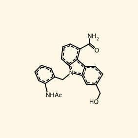 CC(=O)Nc1ccccc1Cn1c2cc(CO)c[c]c2c2c(C(N)=O)cccc21